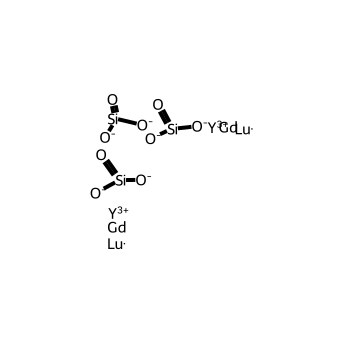 O=[Si]([O-])[O-].O=[Si]([O-])[O-].O=[Si]([O-])[O-].[Gd].[Gd].[Lu].[Lu].[Y+3].[Y+3]